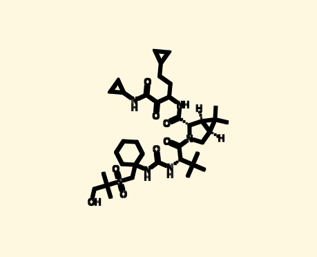 CC(C)(C)[C@H](NC(=O)NC1(CS(=O)(=O)C(C)(C)CO)CCCCC1)C(=O)N1C[C@H]2[C@@H]([C@H]1C(=O)NC(CCC1CC1)C(=O)C(=O)NC1CC1)C2(C)C